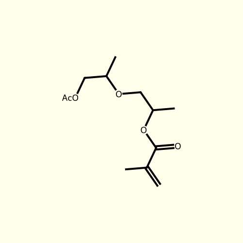 C=C(C)C(=O)OC(C)COC(C)COC(C)=O